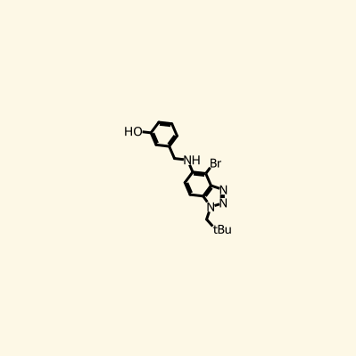 CC(C)(C)Cn1nnc2c(Br)c(NCc3cccc(O)c3)ccc21